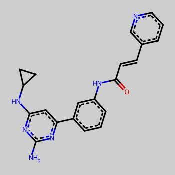 Nc1nc(NC2CC2)cc(-c2cccc(NC(=O)/C=C/c3cccnc3)c2)n1